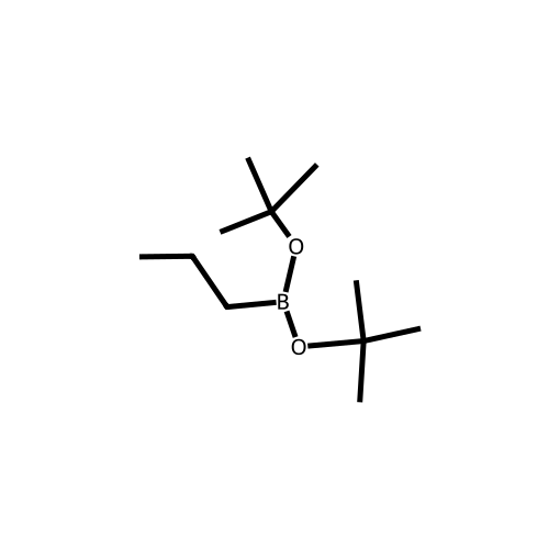 CCCB(OC(C)(C)C)OC(C)(C)C